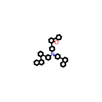 c1cc(-c2ccccc2-c2cccc3ccccc23)cc(N(c2ccc(-c3cccc4ccccc34)cc2)c2ccc(-c3cccc4c3oc3ccccc34)cc2)c1